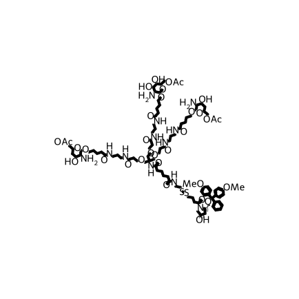 COc1ccc(C(OC[C@@H]2C[C@@H](O)CN2C(=O)CCCSSCCNC(=O)CCCCC(=O)NC(COCCC(=O)NCCCNC(=O)CCCCOC2OC(COC(C)=O)CC(O)C2N)(COCCC(=O)NCCCNC(=O)CCCCOC2OC(COC(C)=O)CC(O)C2N)COCCC(=O)NCCCNC(=O)CCCCOC2OC(COC(C)=O)C(O)C(O)C2N)(c2ccccc2)c2ccc(OC)cc2)cc1